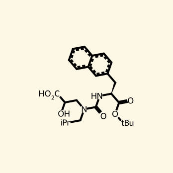 CC(C)CN(CC(O)C(=O)O)C(=O)N[C@@H](Cc1ccc2ccccc2c1)C(=O)OC(C)(C)C